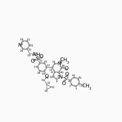 Cc1ccc(S(=O)(=O)n2ccc3c(-c4cc(S(=O)(=O)NCc5cccnc5)ccc4OCC4CC4)cn(C)c(=O)c32)cc1